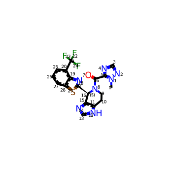 Cn1ncnc1C(=O)N1CCc2[nH]cnc2[C@H]1c1nc2c(C(F)(F)F)cccc2s1